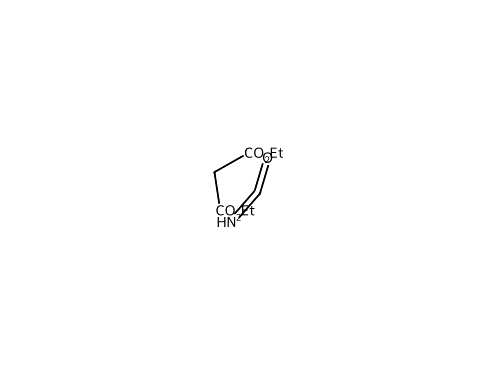 CCOC(=O)CC(=O)OCC.N=C=O